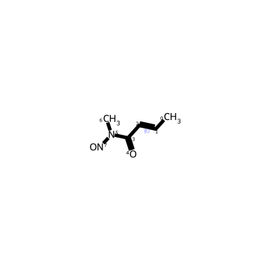 C/C=C/C(=O)N(C)N=O